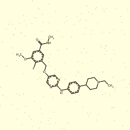 CCN1CCC(c2ccc(Nc3ncc(OCc4cc(C(=O)NC)cc(OC)c4F)cn3)cc2)CC1